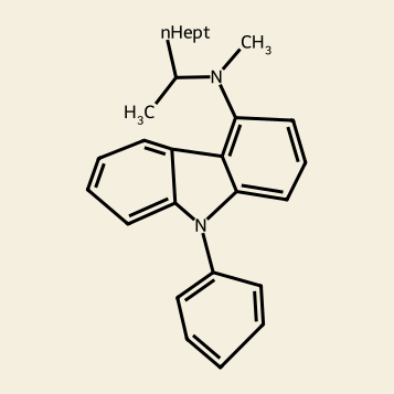 CCCCCCCC(C)N(C)c1cccc2c1c1ccccc1n2-c1ccccc1